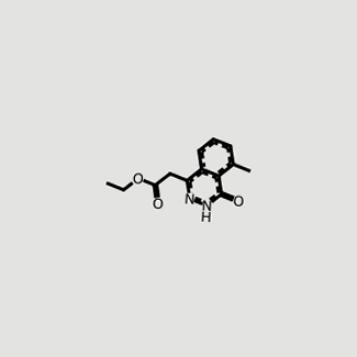 CCOC(=O)Cc1n[nH]c(=O)c2c(C)cccc12